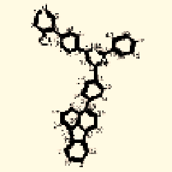 Cc1ccncc1-c1ccc(-c2cc(-c3ccc(-c4ccc5c6c(cccc46)-c4ccccc4-5)cc3)nc(-c3ccccc3)n2)cc1